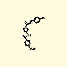 COc1ccc(C(=O)NC2CCN(C(=O)/C=C/c3ccc(Br)cc3)C2)cn1